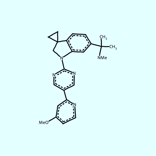 CNC(C)(C)c1ccc2c(c1)N(c1ncc(-c3cc(OC)ccn3)cn1)CC21CC1